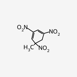 CC1([N+](=O)[O-])C=C([N+](=O)[O-])C=C([N+](=O)[O-])C1